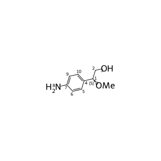 CO[C@H](CO)c1ccc(N)cc1